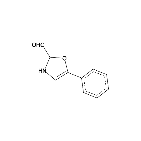 O=CC1NC=C(c2ccccc2)O1